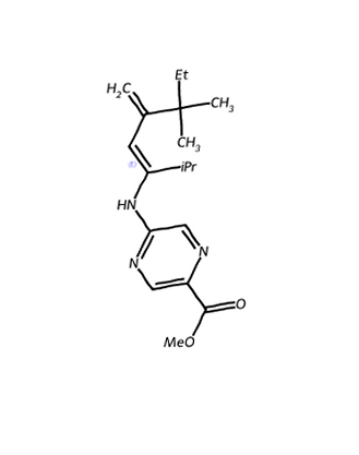 C=C(/C=C(/Nc1cnc(C(=O)OC)cn1)C(C)C)C(C)(C)CC